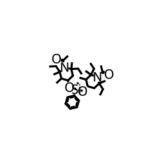 CCC1(C)CC(O[Si](C)(OC2CC(C)(CC)N(C(C)=O)C(C)(CC)C2C)c2ccccc2)C(C)C(C)(CC)N1C(C)=O